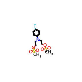 CS(=O)(=O)OCCN(CCOS(C)(=O)=O)c1ccc(F)cc1